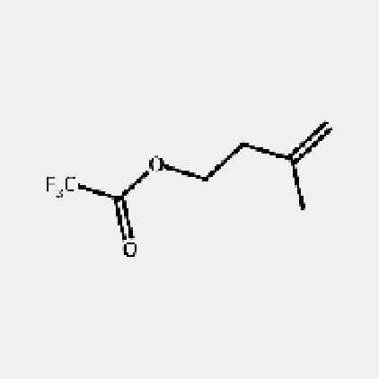 C=C(C)CCOC(=O)C(F)(F)F